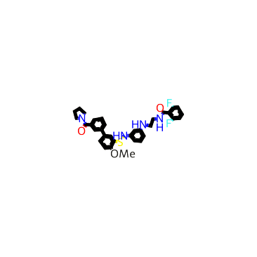 COc1ccc(-c2cccc(C(=O)N3CCCC3)c2)cc1SNc1cccc(NCCNC(=O)c2c(F)cccc2F)c1